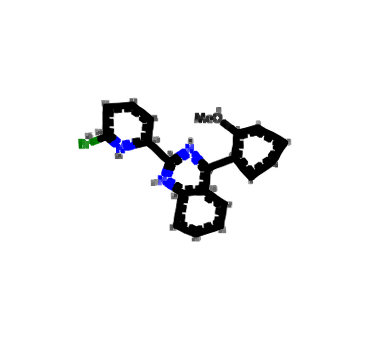 COc1ccccc1-c1nc(-c2cccc(Br)n2)nc2ccccc12